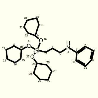 c1ccc(NCCC[Si](OC2CCCCC2)(OC2CCCCC2)OC2CCCCC2)cc1